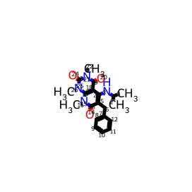 CC(C)Nc1c(Cc2ccccc2)c(=O)n(C)c2c1c(=O)n(C)c(=O)n2C